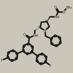 CC(C)(C)OC(=O)NC[C@@H]1C[C@@H](CNC(=O)c2cc(-c3ccc(F)cc3)cc(-c3ccc(F)cc3)c2)N(Cc2ccccc2)C1